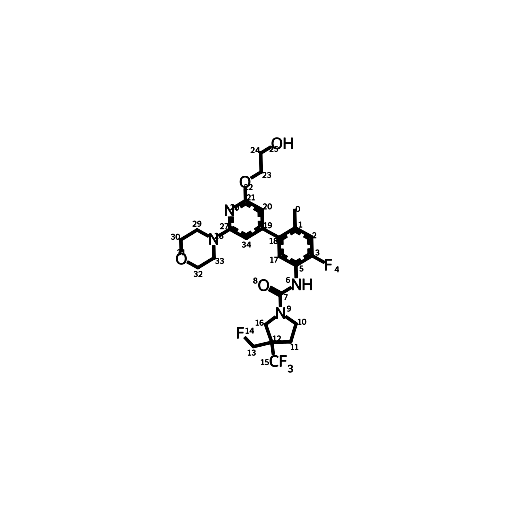 Cc1cc(F)c(NC(=O)N2CCC(CF)(C(F)(F)F)C2)cc1-c1cc(OCCO)nc(N2CCOCC2)c1